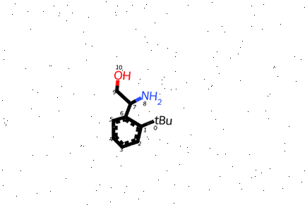 CC(C)(C)c1ccccc1C(N)CO